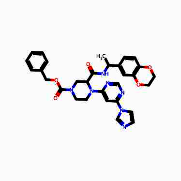 CC(NC(=O)C1CN(C(=O)OCc2ccccc2)CCN1c1cc(-n2ccnc2)ncn1)c1ccc2c(c1)OCCO2